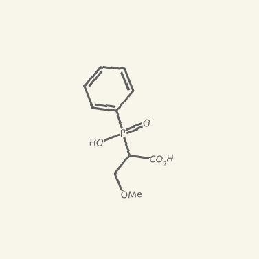 COCC(C(=O)O)P(=O)(O)c1ccccc1